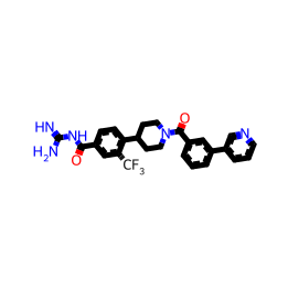 N=C(N)NC(=O)c1ccc(C2CCN(C(=O)c3cccc(-c4cccnc4)c3)CC2)c(C(F)(F)F)c1